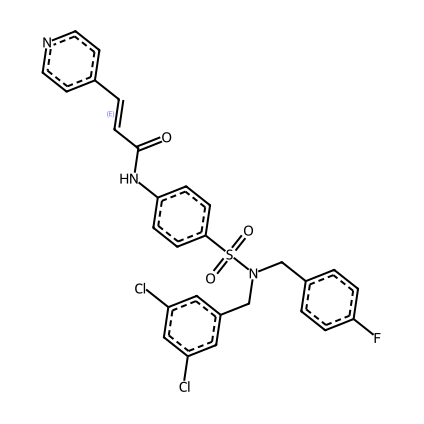 O=C(/C=C/c1ccncc1)Nc1ccc(S(=O)(=O)N(Cc2ccc(F)cc2)Cc2cc(Cl)cc(Cl)c2)cc1